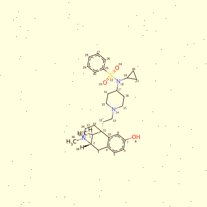 C[C@@H]1[C@@H]2Cc3ccc(O)cc3[C@]1(CCN1CCC(N(C3CC3)S(=O)(=O)c3ccccc3)CC1)CCN2C